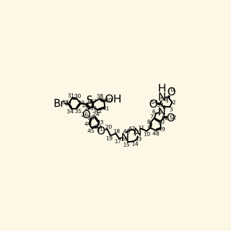 O=C1CCC(N2Cc3cc(CCN4CCCN(CCCCOc5ccc(Oc6c(-c7ccc(Br)cc7)sc7cc(O)ccc67)cc5)CC4)ccc3C2=O)C(=O)N1